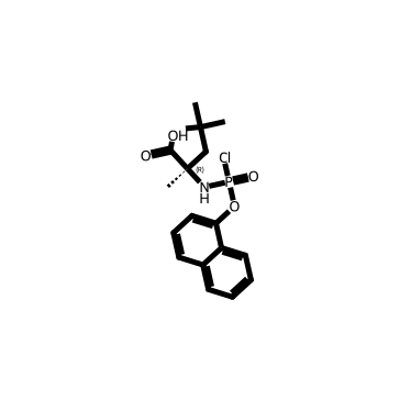 CC(C)(C)C[C@@](C)(NP(=O)(Cl)Oc1cccc2ccccc12)C(=O)O